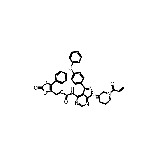 C=CC(=O)N1CCC[C@@H](n2nc(-c3ccc(Oc4ccccc4)cc3)c3c(NC(=O)OCc4oc(=O)oc4-c4ccccc4)ncnc32)C1